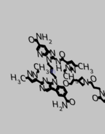 CCn1nc(C)cc1C(=O)Nc1nc2cc(C(N)=O)cnc2n1C/C=C/Cn1c2nc(-c3cc(C)nn3CC)ncc2c2cc(C(N)=O)cc(OCCC3CN(C(=O)CCN4C(=O)C=CC4=O)C3)c21